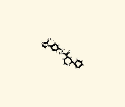 Cc1nccn1-c1ccc(SNC(=O)C2CCOC(c3ccccc3)C2)cc1